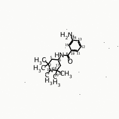 CN1C(C)(C)CC(NC(=O)c2cccc(N)c2)CC1(C)C